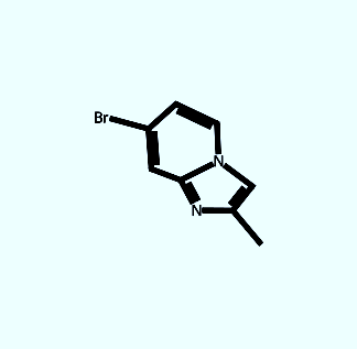 Cc1cn2ccc(Br)cc2n1